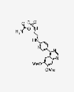 COc1cc2ncnc(-c3ccc(NCCNS(=O)(=O)OC(N)=O)nc3)c2cc1OC